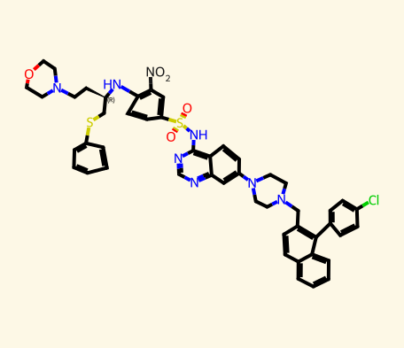 O=[N+]([O-])c1cc(S(=O)(=O)Nc2ncnc3cc(N4CCN(Cc5ccc6ccccc6c5-c5ccc(Cl)cc5)CC4)ccc23)ccc1N[C@H](CCN1CCOCC1)CSc1ccccc1